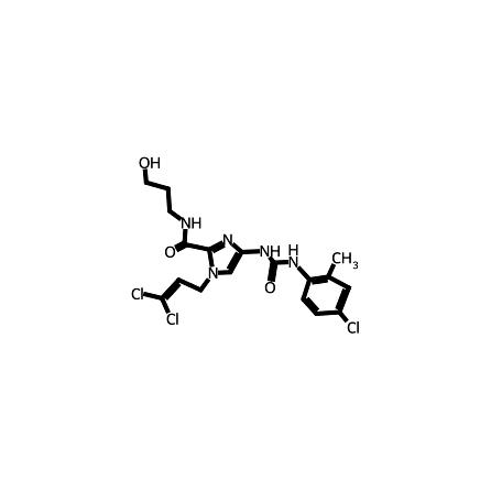 Cc1cc(Cl)ccc1NC(=O)Nc1cn(CC=C(Cl)Cl)c(C(=O)NCCCO)n1